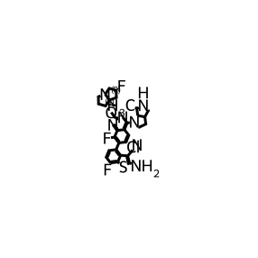 CC1NCC2CCN(c3nc(OC[C@@]45CCCN4C[C@H](F)C5)nc4c(F)c(-c5ccc(F)c6sc(N)c(C#N)c56)c(Cl)cc34)C21